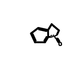 O=[14C]1CCc2ccccc21